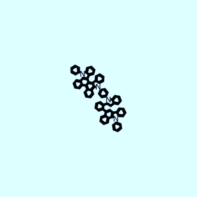 c1ccc(-n2c3ccccc3c3cc(-c4ccccc4C4Cc5ccccc5N4c4ccc(-n5c6ccccc6c6c7c(c8ccccc8c8c7c7ccccc7n8-c7ccccc7)c7ccccc7c65)cc4)c4ccccc4c32)cc1